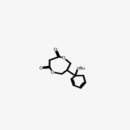 CCCCC1(C2COC(=O)CC(=O)OC2)C=CC=CC1